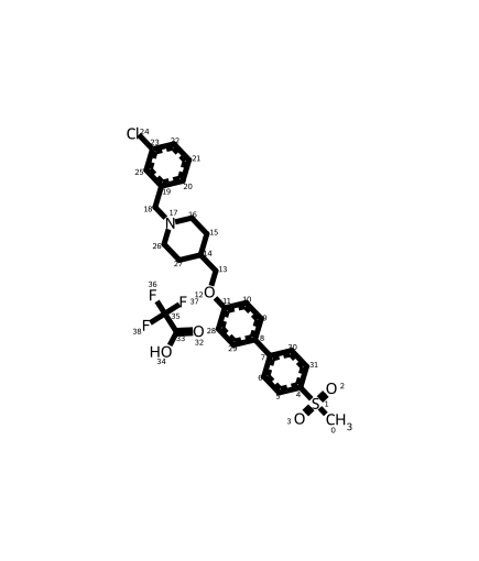 CS(=O)(=O)c1ccc(-c2ccc(OCC3CCN(Cc4cccc(Cl)c4)CC3)cc2)cc1.O=C(O)C(F)(F)F